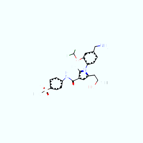 Cc1c(C(=O)Nc2ccc(S(C)(=O)=O)cc2)cc(C[C@H](C)O)n1-c1ccc(CN)cc1OC(F)F